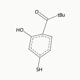 CC(C)(C)C(=O)c1ccc(S)cc1O